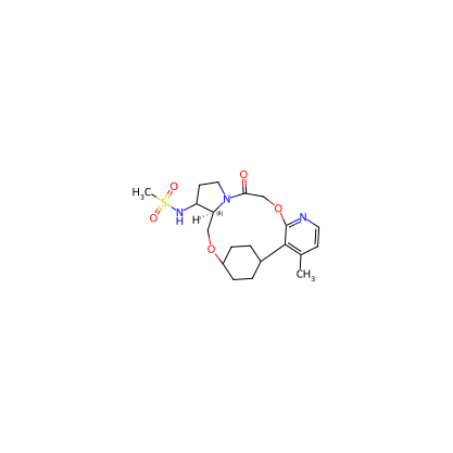 Cc1ccnc2c1C1CCC(CC1)OC[C@H]1C(NS(C)(=O)=O)CCN1C(=O)CO2